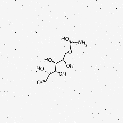 NP(O)OC[C@@H](O)[C@H](O)[C@H](O)[C@@H](O)C=O